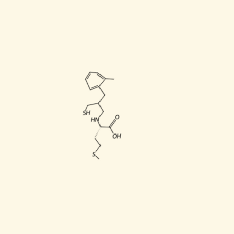 CSCC[C@H](NCC(CS)Cc1ccccc1C)C(=O)O